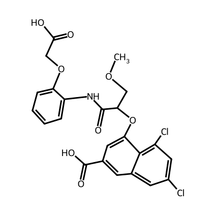 COCC(Oc1cc(C(=O)O)cc2cc(Cl)cc(Cl)c12)C(=O)Nc1ccccc1OCC(=O)O